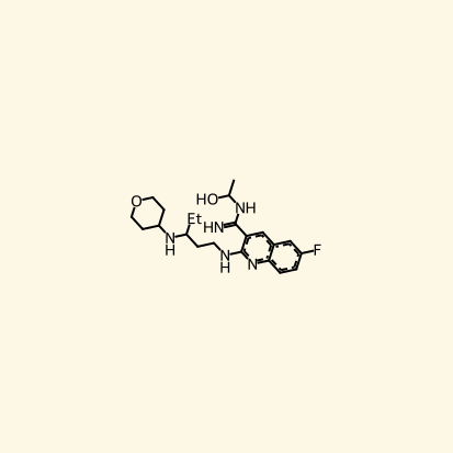 CCC(CCNc1nc2ccc(F)cc2cc1C(=N)NC(C)O)NC1CCOCC1